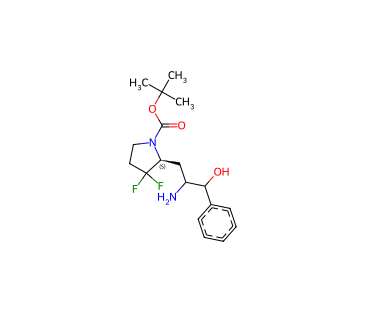 CC(C)(C)OC(=O)N1CCC(F)(F)[C@@H]1CC(N)C(O)c1ccccc1